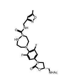 CC(=O)NC[C@H]1CN(c2cc(F)c(N3CCNN(C(=O)NCc4cc(C)on4)CC3)c(F)c2)C(=O)O1